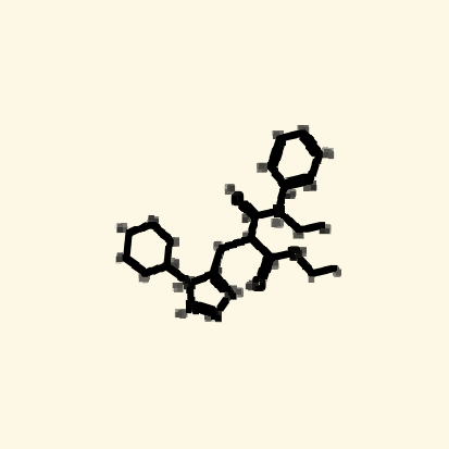 CCOC(=O)C(Cc1nnnn1C1CCCCC1)C(=O)N(CC)c1ccccc1